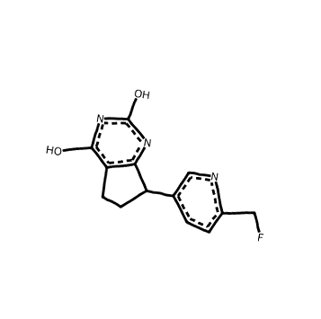 Oc1nc(O)c2c(n1)C(c1ccc(CF)nc1)CC2